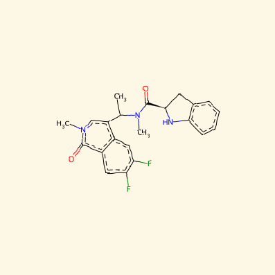 CC(c1cn(C)c(=O)c2cc(F)c(F)cc12)N(C)C(=O)[C@H]1Cc2ccccc2N1